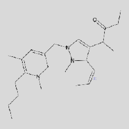 C/C=C\C1C(C(C)C(=O)CC)=CN(CC2=CC(C)=C(CCCC)N(C)C2)N1C